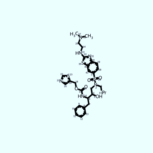 CC(C)CN(CC(O)C(Cc1ccccc1)NC(=O)OCc1cncs1)S(=O)(=O)c1ccc2nc(NCCN(C)C)sc2c1